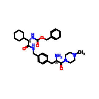 CN1CCN(C(=O)[C@H](N)Cc2ccc(CNC(=O)[C@@H](NC(=O)OCc3ccccc3)C3CCCCC3)cc2)CC1